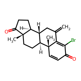 C=C1C[C@@H]2[C@H](CC[C@]3(C)C(=O)CC[C@@H]23)[C@@]2(C)C=CC(=O)C(Br)=C12